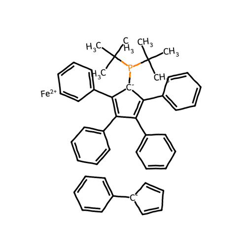 CC(C)(C)P([c-]1c(-c2ccccc2)c(-c2ccccc2)c(-c2ccccc2)c1-c1ccccc1)C(C)(C)C.[Fe+2].c1ccc(-[c-]2cccc2)cc1